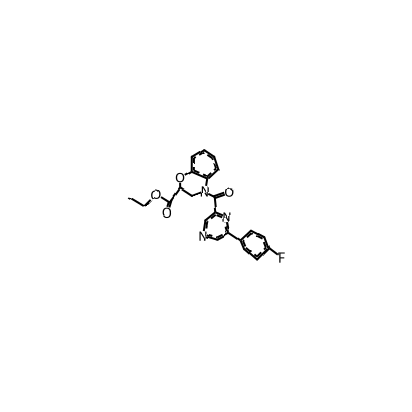 CCOC(=O)C1CN(C(=O)c2cncc(-c3ccc(F)cc3)n2)c2ccccc2O1